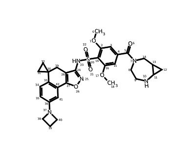 COc1cc(C(=O)N2CCNC3CC3C2)cc(OC)c1S(=O)(=O)Nc1noc2c1CC1(CC1)c1ccc(N3CCC3)cc1-2